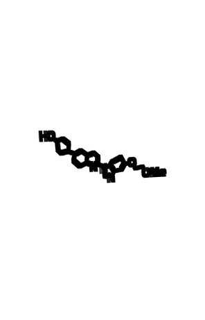 COCCOc1ccc2c(c1)ncn2-c1ccc2cc(-c3ccc(O)cc3)ccc2n1